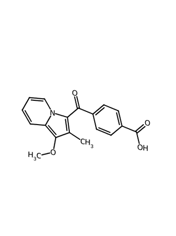 COc1c(C)c(C(=O)c2ccc(C(=O)O)cc2)n2ccccc12